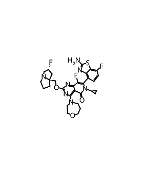 Nc1nc2c(-c3c(F)c4nc(OC[C@@]56CCCN5C[C@H](F)C6)nc(N5CCCOCC5)c4c(=O)n3C3CC3)ccc(F)c2s1